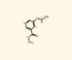 COC(=O)c1cncc(OBO)c1